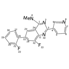 CNc1nc(-c2cccnc2)nc2c(F)cc(-c3ccccc3F)cc12